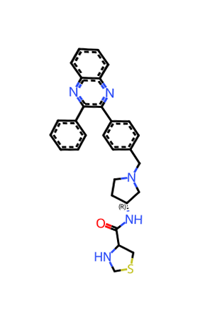 O=C(N[C@@H]1CCN(Cc2ccc(-c3nc4ccccc4nc3-c3ccccc3)cc2)C1)C1CSCN1